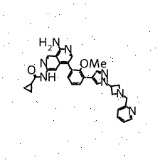 COc1c(-c2cnn(C3CN(Cc4ccccn4)C3)c2)cccc1-c1cnc(N)c2cnc(NC(=O)C3CC3)cc12